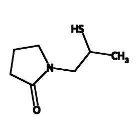 CC(S)CN1CCCC1=O